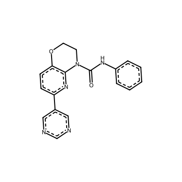 O=C(Nc1ccccc1)N1CCOc2ccc(-c3cncnc3)nc21